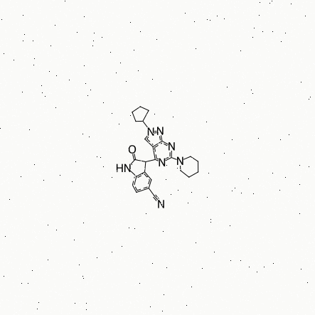 N#Cc1ccc2c(c1)C(c1nc(N3CCCCC3)nc3nn(C4CCCC4)cc13)C(=O)N2